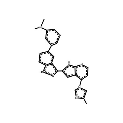 Cc1cn(-c2ccnc3[nH]c(-c4n[nH]c5ccc(-c6cncc(N(C)C)c6)cc45)cc23)cn1